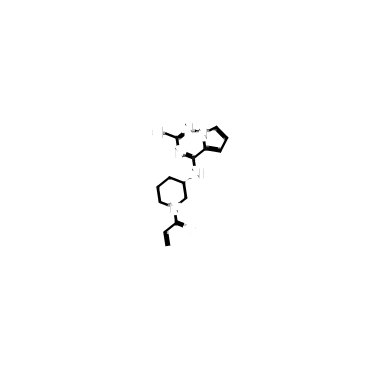 C=CC(=O)N1CCC[C@@H](Nc2nc(Cl)nn3cccc23)C1